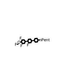 CCCCCc1ccc(-c2ccc(-c3cc(F)c(OCF)c(F)c3)c(F)c2)cc1